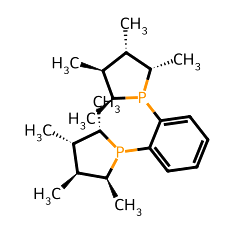 C[C@H]1[C@H](C)[C@H](C)P(c2ccccc2P2[C@@H](C)[C@@H](C)[C@H](C)[C@@H]2C)[C@H]1C